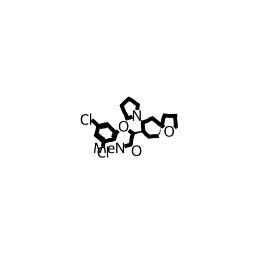 CNC(=O)C(Oc1cc(Cl)cc(Cl)c1)[C@@H]1CC[C@@]2(CCCO2)C[C@H]1N1CCCC1